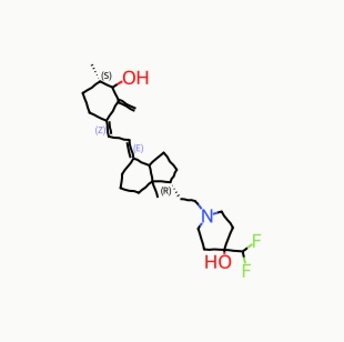 C=C1/C(=C\C=C2/CCCC3(C)C2CC[C@@H]3CCN2CCC(O)(C(F)F)CC2)CC[C@H](C)C1O